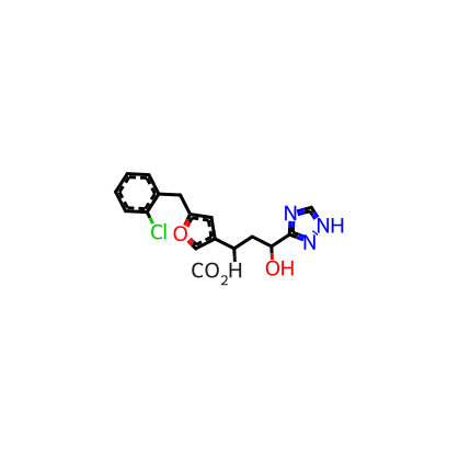 O=C(O)C(CC(O)c1nc[nH]n1)c1coc(Cc2ccccc2Cl)c1